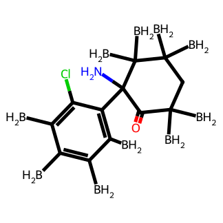 Bc1c(B)c(B)c(C2(N)C(=O)C(B)(B)CC(B)(B)C2(B)B)c(Cl)c1B